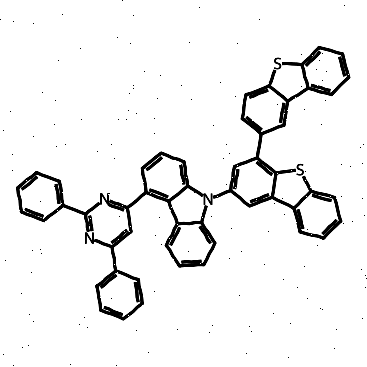 c1ccc(-c2cc(-c3cccc4c3c3ccccc3n4-c3cc(-c4ccc5sc6ccccc6c5c4)c4sc5ccccc5c4c3)nc(-c3ccccc3)n2)cc1